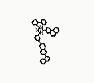 c1ccc(-c2ccccc2-c2nc(-c3cccc(-c4ccc5cc(-c6cccc7ccccc67)ccc5c4)c3)nc(-c3ccc4c(ccc5ccccc54)c3)n2)cc1